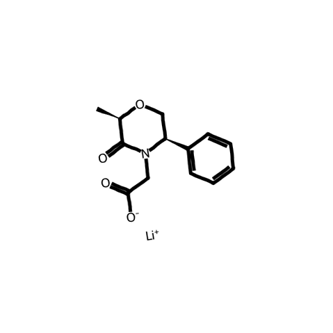 C[C@H]1OC[C@@H](c2ccccc2)N(CC(=O)[O-])C1=O.[Li+]